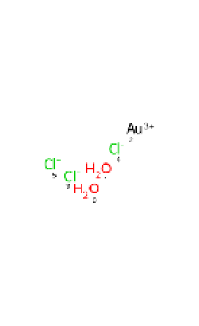 O.O.[Au+3].[Cl-].[Cl-].[Cl-]